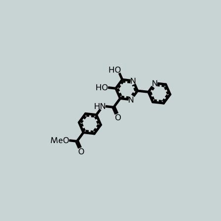 COC(=O)c1ccc(NC(=O)c2nc(-c3ccccn3)nc(O)c2O)cc1